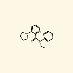 CCN(C(=O)c1ncccc1N1CCCC1)c1ccccc1